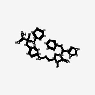 CN1C(=O)N(C(Cc2ccccc2)C2=COCO2)CC1CCOc1ccc(CC(C)(Oc2ccccc2)C(=O)O)cc1